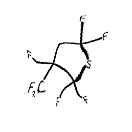 FC1(F)CC(F)(C(F)(F)F)C(F)(F)S1